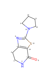 O=C1NCCc2nc(N3CCCC3)sc21